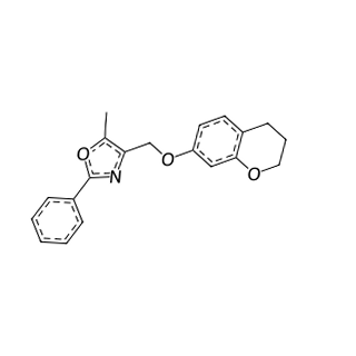 Cc1oc(-c2ccccc2)nc1COc1ccc2c(c1)OCCC2